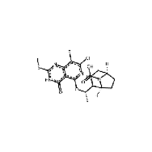 CSc1nc2c(F)c(Cl)nc(O[C@@H](C)[C@H]3NC[C@H]4CC[C@@H]3N4C(=O)O)c2c(=O)[nH]1